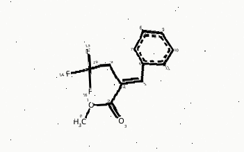 COC(=O)/C(=C/c1ccccc1)CC(F)(F)F